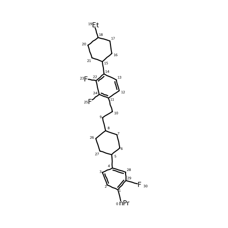 CCCc1ccc(C2CCC(CCc3ccc(C4CCC(CC)CC4)c(F)c3F)CC2)cc1F